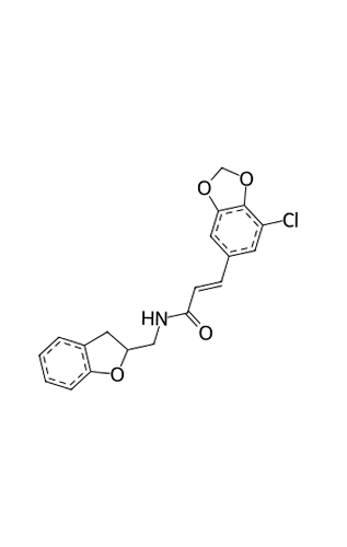 O=C(C=Cc1cc(Cl)c2c(c1)OCO2)NCC1Cc2ccccc2O1